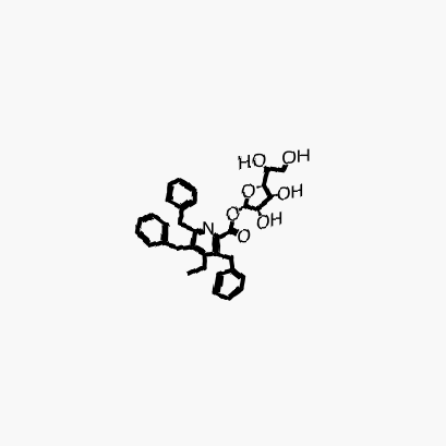 CCc1c(Cc2ccccc2)c(Cc2ccccc2)nc(C(=O)O[C@H]2O[C@H]([C@@H](O)CO)[C@H](O)[C@H]2O)c1Cc1ccccc1